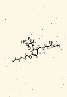 CCCCCCOc1ccc(CNCCC(=O)O)cc1.O=C(O)C(F)(F)F